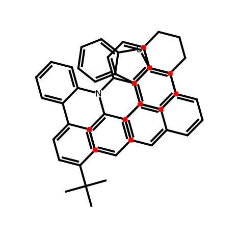 CC(C)(C)c1ccc(-c2ccccc2N(c2ccccc2-c2cccc3cccc(C4CCCCC4)c23)c2ccccc2-c2cccc3oc4ccccc4c23)cc1